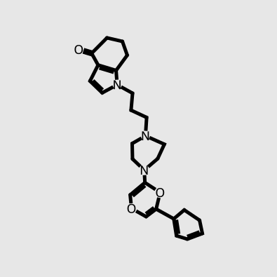 O=C1CCCc2c1ccn2CCCN1CCN(C2=COC=C(C3=CC=CCC3)O2)CC1